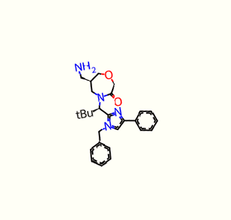 CC(C)(C)[C@H](c1nc(-c2ccccc2)cn1Cc1ccccc1)N1C[C@@H](CN)COCC1=O